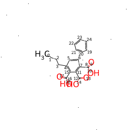 CCCCc1ccc(C(=O)O)c(C(=O)O)c1C(=O)O.c1ccccc1